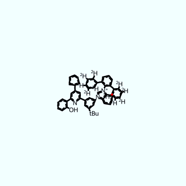 [2H]c1c([2H])c([2H])c(-c2cccc(-c3c([2H])c([2H])c([2H])c([2H])c3[2H])c2-[n+]2cn(-c3cc(-c4cc(-c5ccccc5)cc(-c5ccccc5O)n4)cc(C(C)(C)C)c3)c3ccccc32)c([2H])c1[2H]